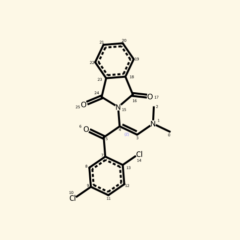 CN(C)/C=C(/C(=O)c1cc(Cl)ccc1Cl)N1C(=O)c2ccccc2C1=O